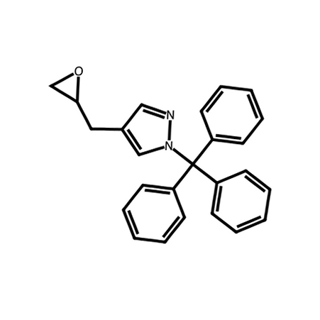 c1ccc(C(c2ccccc2)(c2ccccc2)n2cc(CC3CO3)cn2)cc1